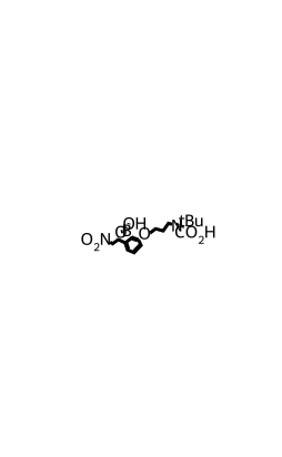 CC(C)(C)N(CCCCOc1cccc2c1B(O)OC2C[N+](=O)[O-])C(=O)O